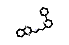 C(=C\c1cnc2ccccc2n1)/Cc1cccc(-c2ccccc2)n1